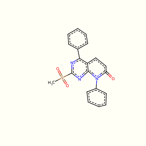 CS(=O)(=O)c1nc(-c2ccccc2)c2ccc(=O)n(-c3ccccc3)c2n1